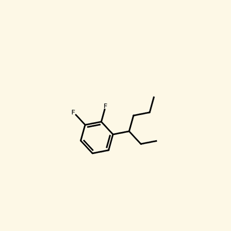 CCCC(CC)c1cccc(F)c1F